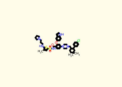 Cc1cc(S(=O)(=O)NC(=O)c2ccc(N3CCN(CC4=C(c5ccc(Cl)cc5)CC(C)(C)CC4)CC3)cc2Oc2ccc3[nH]ccc3c2)sc1NCCCN1CCCC1